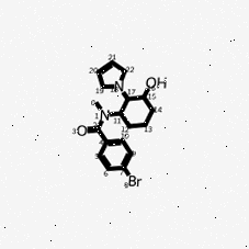 CN(C(=O)c1ccc(Br)cc1)C1CCCC(O)C1N1CC=CC1